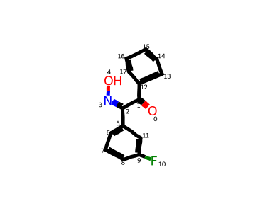 O=C(/C(=N\O)c1cccc(F)c1)c1ccccc1